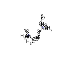 CC1(CCCCN/C=C(\N)CCC(=O)CC2CCC2)CCC(SNSc2ccc(C(=O)CCCCN/C3=C(\N)c4ccccc4CN(C(=O)CCCCC(=O)CC4CCC4)c4ccccc43)cc2)CC1